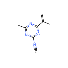 [C-]#[N+]c1nc(C)nc(C(=C)C)n1